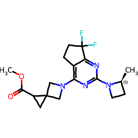 COC(=O)C1CC12CN(c1nc(N3CC[C@@H]3C)nc3c1CCC3(F)F)C2